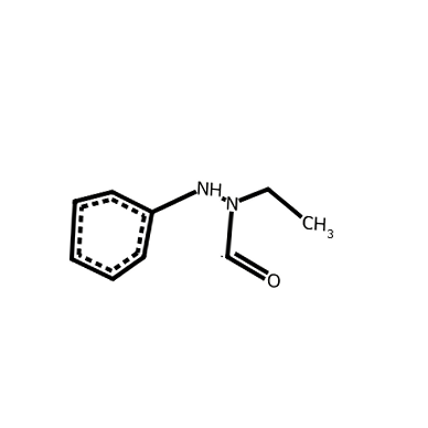 CCN([C]=O)Nc1ccccc1